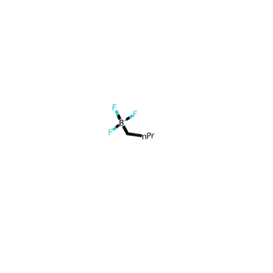 CCCC[B-](F)(F)F